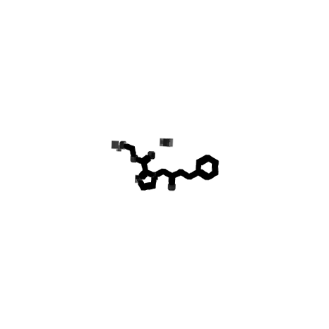 CCOC(=O)c1nccn1CC(=O)CCc1ccccc1.Cl